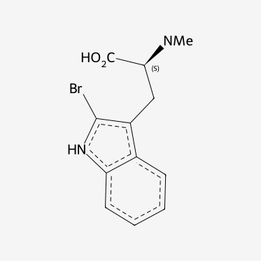 CN[C@@H](Cc1c(Br)[nH]c2ccccc12)C(=O)O